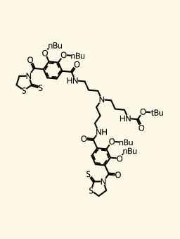 CCCCOc1c(C(=O)NCCCN(CCCNC(=O)OC(C)(C)C)CCCNC(=O)c2ccc(C(=O)N3CCSC3=S)c(OCCCC)c2OCCCC)ccc(C(=O)N2CCSC2=S)c1OCCCC